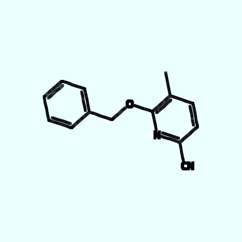 Cc1ccc(C#N)nc1OCc1ccccc1